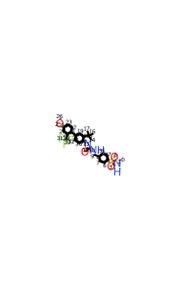 CNS(=O)(=O)c1ccc(CNC(=O)N2CC(C)(C)c3cc(-c4ccc(OC)cc4C(F)(F)F)ccc32)cc1